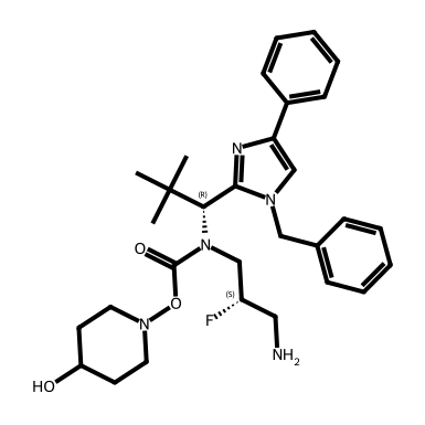 CC(C)(C)[C@H](c1nc(-c2ccccc2)cn1Cc1ccccc1)N(C[C@@H](F)CN)C(=O)ON1CCC(O)CC1